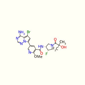 COc1ncc(-c2cc(Br)c3c(N)ncnn23)cc1C(=O)N[C@@H]1CN(C(=O)C(C)(O)C(F)(F)F)C[C@@H]1F